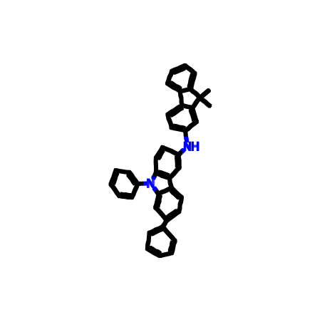 CC1(C)c2ccccc2-c2ccc(Nc3ccc4c(c3)c3ccc(-c5ccccc5)cc3n4-c3ccccc3)cc21